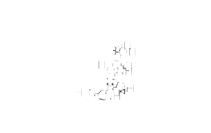 CC(C)(COP(=O)(O)O)NC(=O)c1nn(-c2cc(N)ccn2)c2c1C[C@H]1C[C@@H]21